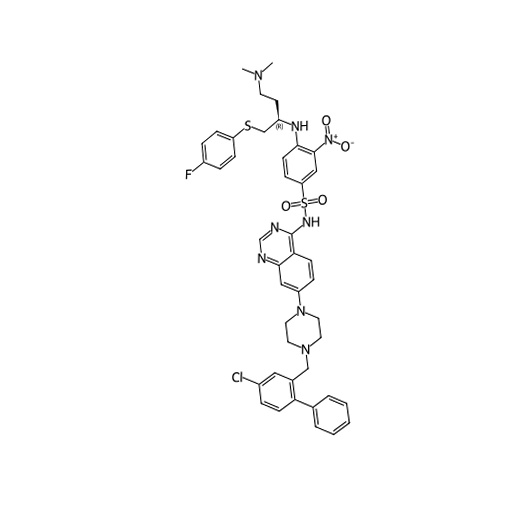 CN(C)CC[C@H](CSc1ccc(F)cc1)Nc1ccc(S(=O)(=O)Nc2ncnc3cc(N4CCN(Cc5cc(Cl)ccc5-c5ccccc5)CC4)ccc23)cc1[N+](=O)[O-]